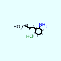 Cl.NC1CCCCC1CCCC(=O)O